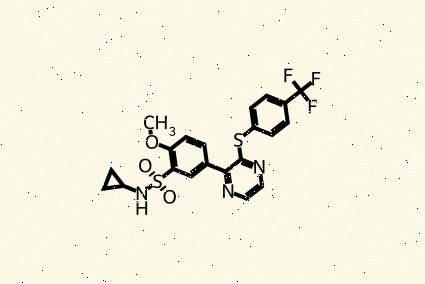 COc1ccc(-c2nccnc2Sc2ccc(C(F)(F)F)cc2)cc1S(=O)(=O)NC1CC1